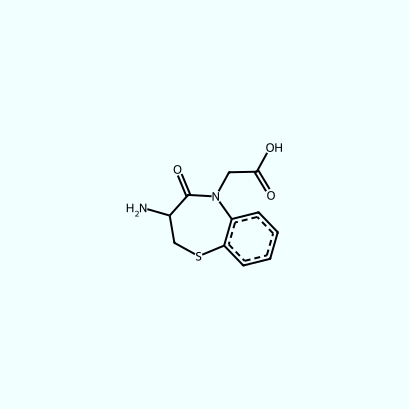 NC1CSc2ccccc2N(CC(=O)O)C1=O